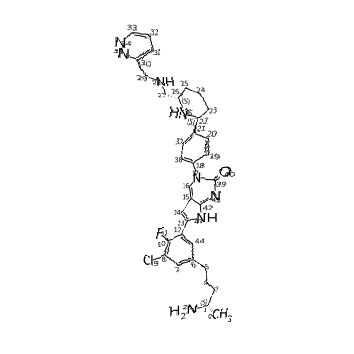 C[C@H](N)CCCc1cc(Cl)c(F)c(-c2cc3cn(-c4ccc([C@@H]5CCC[C@@H](CNCc6cccnn6)N5)cc4)c(=O)nc3[nH]2)c1